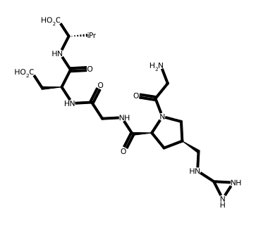 CC(C)[C@H](NC(=O)[C@H](CC(=O)O)NC(=O)CNC(=O)[C@@H]1C[C@H](CNC2NN2)CN1C(=O)CN)C(=O)O